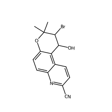 CC1(C)Oc2ccc3nc(C#N)ccc3c2C(O)C1Br